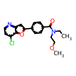 CCN(CCOC)C(=O)c1ccc(-c2cc3nccc(Cl)c3o2)cc1